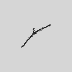 CCCCCCCCCCCCCCCCCCCn1cc[n+](CCCCCCCCCCCCCCCCC)c1CCCC